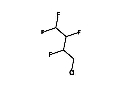 F[C](C(F)F)C(F)CCl